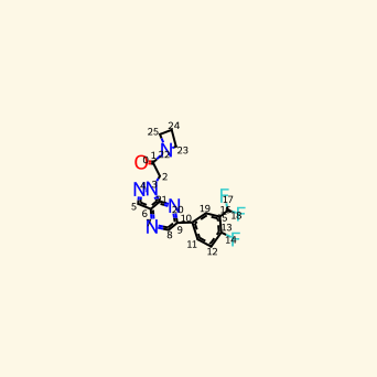 O=C(Cn1ncc2ncc(-c3ccc(F)c(C(F)F)c3)nc21)N1CCC1